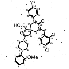 COc1ccccc1N1CCN(C(=O)CC2(CC(=O)O)CN(Cc3ccc(Cl)cc3Cl)C(=O)N(c3ccc(C)cc3)C2)CC1